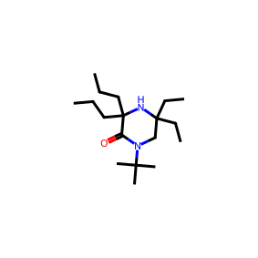 CCCC1(CCC)NC(CC)(CC)CN(C(C)(C)C)C1=O